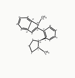 CN1CCC[C@H]1c1cnccc1-c1cc2ccccc2n1C